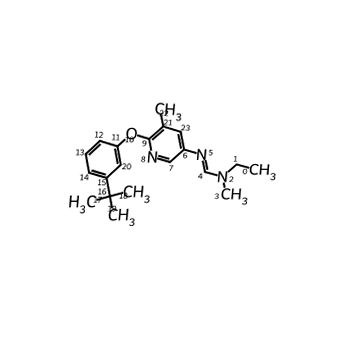 CCN(C)C=Nc1cnc(Oc2cccc(C(C)(C)C)c2)c(C)c1